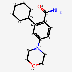 NC(=O)c1ccc(N2CCOCC2)cc1C1CCCCC1